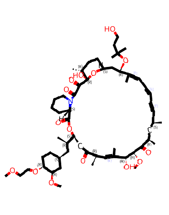 COCCO[C@@H]1CC[C@@H](C[C@@H](C)[C@@H]2CC(=O)[C@H](C)/C=C(\C)[C@@H](O)[C@@H](OC)C(=O)[C@H](C)C[C@H](C)/C=C/C=C/C=C(\C)[C@H](OC(C)(C)CCO)C[C@@H]3CC[C@@H](C)[C@@](O)(O3)C(=O)C(=O)N3CCCC[C@H]3C(=O)O2)C[C@H]1OC